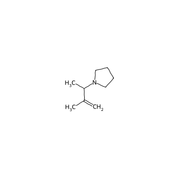 C=C(C)C(C)N1CCCC1